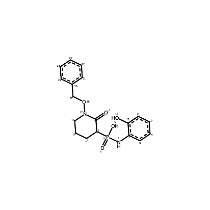 O=C1C(P(=O)(O)Nc2ccccc2O)CCCN1OCc1ccccc1